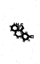 C/C=C1\c2ccccc2CCc2ccc(Cl)cc21